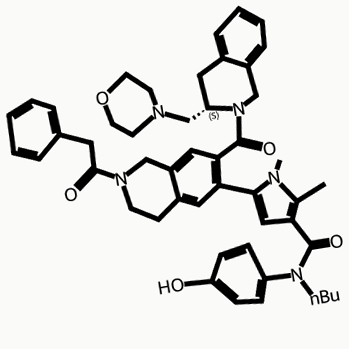 CCCCN(C(=O)c1cc(-c2cc3c(cc2C(=O)N2Cc4ccccc4C[C@H]2CN2CCOCC2)CN(C(=O)Cc2ccccc2)CC3)n(C)c1C)c1ccc(O)cc1